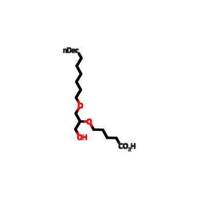 CCCCCCCCCCCCCCCCOCC(CO)OCCCCC(=O)O